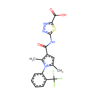 Cc1cc(C(=O)Nc2nnc(C(=O)O)s2)c(C)n1-c1ccccc1C(F)(F)F